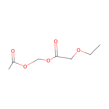 CCOCC(=O)OCOC(C)=O